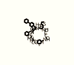 O=C1CCC(=O)N[C@H](Cc2cccs2)C(=O)N[C@@H](Cc2ccc(-c3ccccc3)cc2)C(=O)N(Cc2ccccc2)CC(=O)N[C@H](C(=O)O)Cc2ccc(cc2)N1